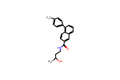 CC(O)CCNC(=O)c1ccc2c(-c3ccc(C(F)(F)F)cc3)cccc2c1